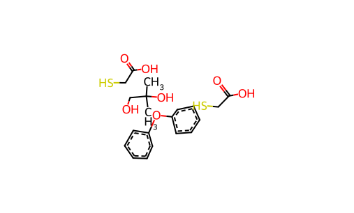 CC(C)(O)CO.O=C(O)CS.O=C(O)CS.c1ccc(Oc2ccccc2)cc1